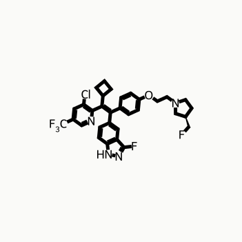 FC[C@@H]1CCN(CCOc2ccc(C(=C(c3ncc(C(F)(F)F)cc3Cl)C3CCC3)c3ccc4[nH]nc(F)c4c3)cc2)C1